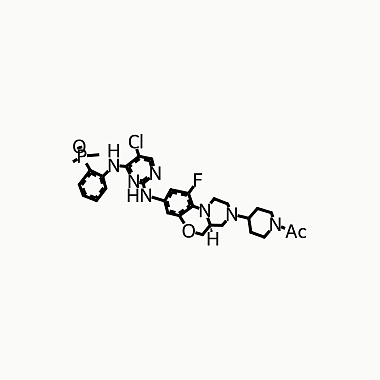 CC(=O)N1CCC(N2CCN3c4c(F)cc(Nc5ncc(Cl)c(Nc6ccccc6P(C)(C)=O)n5)cc4OC[C@@H]3C2)CC1